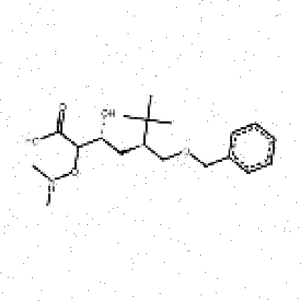 C[SiH](C)OC(C(=O)O)[C@H](O)C[C@H](COCc1ccccc1)C(C)(C)C